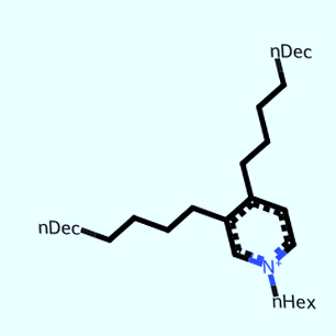 CCCCCCCCCCCCCCc1cc[n+](CCCCCC)cc1CCCCCCCCCCCCCC